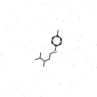 Cc1ccc(OCCN(C)C(C)C)cc1